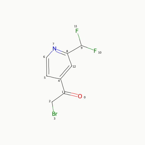 O=C(CBr)c1ccnc(C(F)F)c1